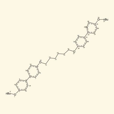 CCCCOc1ccc(-c2ccc(OCCCCCCOc3ccc(-c4ccc(OCCCC)cn4)cc3)cc2)cc1